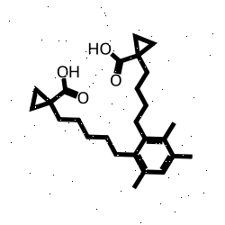 Cc1cc(C)c(CCCCCC2(C(=O)O)CC2)c(CCCCC2(C(=O)O)CC2)c1C